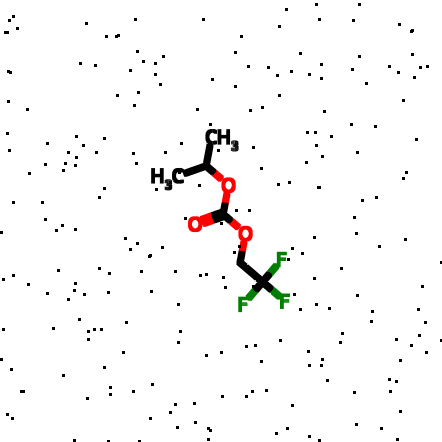 CC(C)OC(=O)OCC(F)(F)F